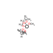 COc1ccc(B2OC3C[C@H]4C[C@@H](C4(C)C)[C@]3(C)O2)c(OC)c1C(=O)OC(C)(C)C